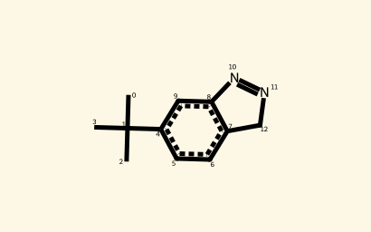 CC(C)(C)c1ccc2c(c1)N=NC2